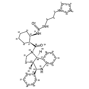 O=C(NCCCn1ccnc1)N[C@@H]1CCCC[C@@H]1C(=O)N1CC[C@H]2[C@H](c3ccccc3)Nc3ccccc3[C@@H]21